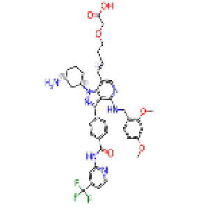 COc1ccc(CNc2ncc(/C=C/CCOCC(=O)O)c3c2c(-c2ccc(C(=O)Nc4cc(C(F)(F)F)ccn4)cc2)nn3[C@@H]2CCC[C@@H](N)C2)c(OC)c1